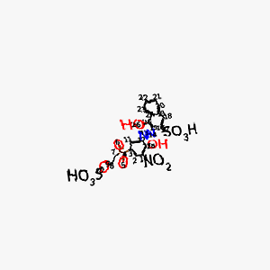 O=[N+]([O-])c1cc(S(=O)(=O)CCOS(=O)(=O)O)cc(/N=N/c2c(S(=O)(=O)O)cc3ccccc3c2O)c1O